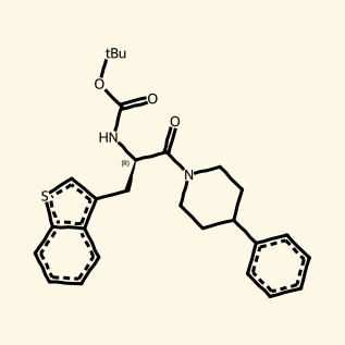 CC(C)(C)OC(=O)N[C@H](Cc1csc2ccccc12)C(=O)N1CCC(c2ccccc2)CC1